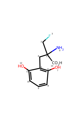 NC(CF)(Cc1c(O)cccc1O)C(=O)O